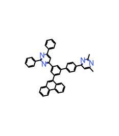 Cc1cc(-c2ccc(-c3cc(-c4cc(-c5ccccc5)nc(-c5ccccc5)n4)cc(-c4cc5ccccc5c5ccccc45)c3)cc2)nc(C)n1